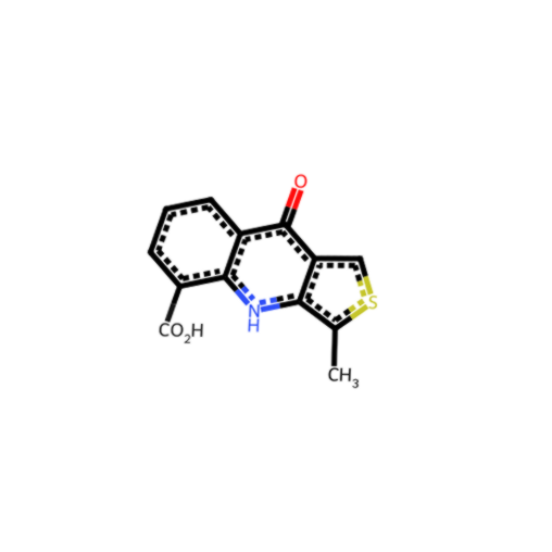 Cc1scc2c(=O)c3cccc(C(=O)O)c3[nH]c12